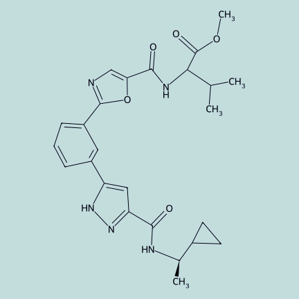 COC(=O)C(NC(=O)c1cnc(-c2cccc(-c3cc(C(=O)N[C@H](C)C4CC4)n[nH]3)c2)o1)C(C)C